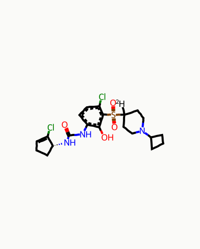 [2H]C1(S(=O)(=O)c2c(Cl)ccc(NC(=O)N[C@@H]3CCC=C3Cl)c2O)CCN(C2CCC2)CC1